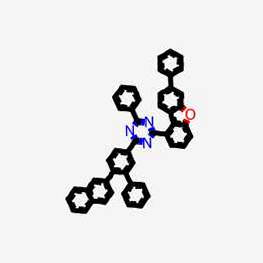 c1ccc(-c2ccc3c(c2)oc2cccc(-c4nc(-c5ccccc5)nc(-c5ccc(-c6ccc7ccccc7c6)c(-c6ccccc6)c5)n4)c23)cc1